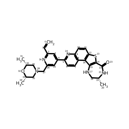 C=Cc1cc(-c2ccc3c(ccc4sc5c(c43)NC[C@@H](C)NC5=O)n2)cc(CN2C[C@@H](C)O[C@@H](C)C2)n1